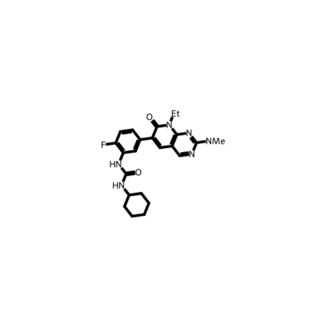 CCn1c(=O)c(-c2ccc(F)c(NC(=O)NC3CCCCC3)c2)cc2cnc(NC)nc21